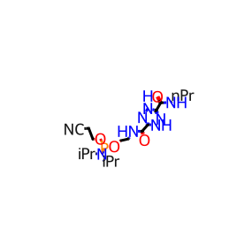 CCCNC(=O)C1=NNC(C(=O)NCCOP(OCCC#N)N(C(C)C)C(C)C)=NN1